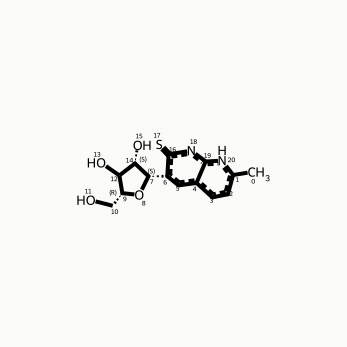 Cc1ccc2cc([C@@H]3O[C@H](CO)C(O)[C@@H]3O)c(=S)nc-2[nH]1